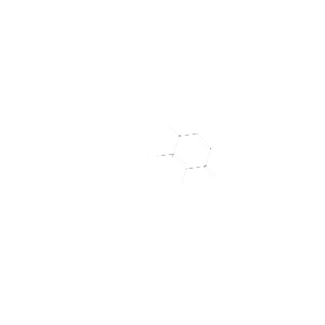 CC1C=CC(=O)C(F)=C1F